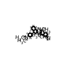 CCN(CC)c1ccc(-c2cc3c(c4ccccc24)N=CC2(O3)N(C)c3ccc(Cl)cc3C2(C)C)cc1